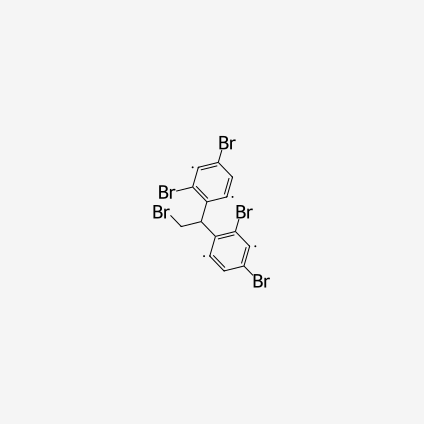 BrCC(c1[c]cc(Br)[c]c1Br)c1[c]cc(Br)[c]c1Br